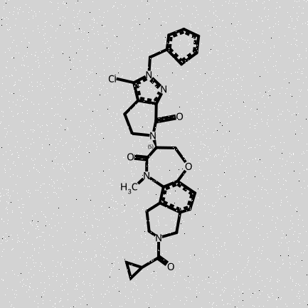 CN1C(=O)[C@@H](N2CCc3c(nn(Cc4ccccc4)c3Cl)C2=O)COc2ccc3c(c21)CCN(C(=O)C1CC1)C3